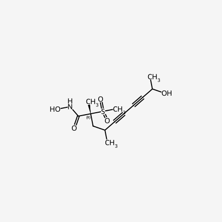 CC(O)C#CC#CC(C)C[C@](C)(C(=O)NO)S(C)(=O)=O